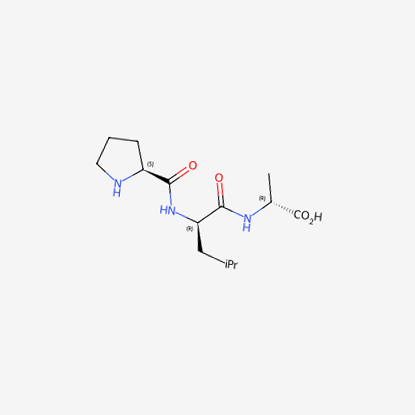 CC(C)C[C@@H](NC(=O)[C@@H]1CCCN1)C(=O)N[C@H](C)C(=O)O